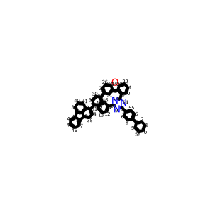 c1ccc(-c2ccc(-c3nc(-c4ccccc4)nc(-c4cccc5oc6ccc(-c7ccc(-c8ccc9c%10c(cccc8%10)-c8ccccc8-9)cc7)cc6c45)n3)cc2)cc1